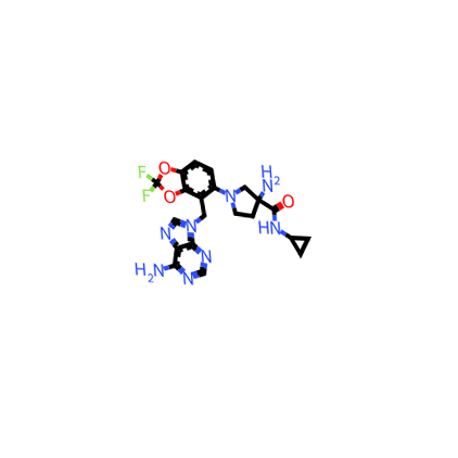 Nc1ncnc2c1ncn2Cc1c(N2CCC(N)(C(=O)NC3CC3)C2)ccc2c1OC(F)(F)O2